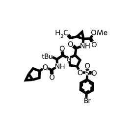 C=CC1CC1(NC(=O)C1CC(OS(=O)(=O)c2ccc(Br)cc2)CN1C(=O)C(NC(=O)OC1CC2CC2C1)C(C)(C)C)C(=O)OC